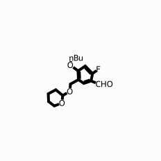 CCCCOc1cc(F)c(C=O)cc1COC1CCCCO1